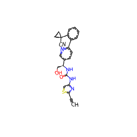 C#Cc1nc(NC(=O)N[C@@H](CO)c2ccc(-c3ccccc3C3(C#N)CC3)nc2)cs1